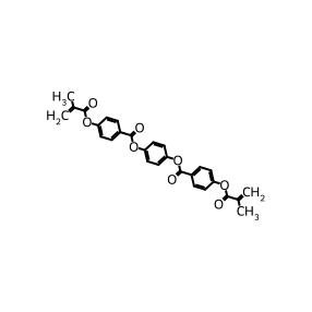 C=C(C)C(=O)Oc1ccc(C(=O)Oc2ccc(OC(=O)c3ccc(OC(=O)C(=C)C)cc3)cc2)cc1